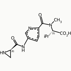 CC(C)[C@@H](C(=O)O)N(C)C(=O)c1ccc(NC(=O)[C@H]2CN2)cn1